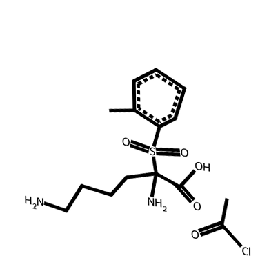 CC(=O)Cl.Cc1ccccc1S(=O)(=O)C(N)(CCCCN)C(=O)O